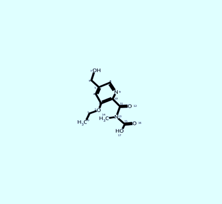 CCOc1cc(CO)cnc1C(=O)N(C)C(=O)O